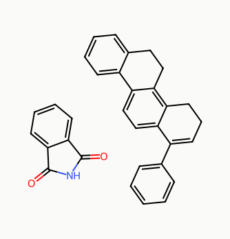 C1=C(c2ccccc2)c2ccc3c(c2CC1)CCc1ccccc1-3.O=C1NC(=O)c2ccccc21